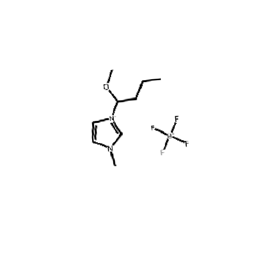 CCCC(OC)[n+]1ccn(C)c1.F[B-](F)(F)F